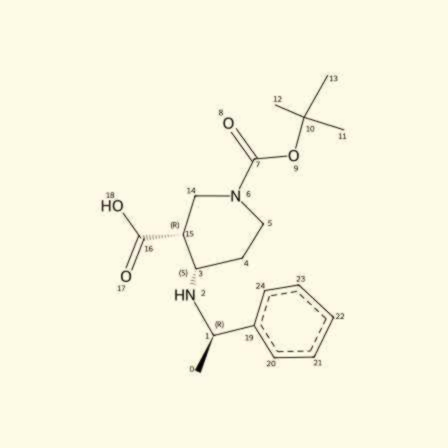 C[C@@H](N[C@H]1CCN(C(=O)OC(C)(C)C)C[C@H]1C(=O)O)c1ccccc1